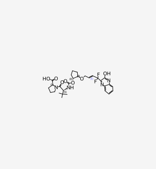 CC(C)(C)[C@H](NC(=O)O[C@@H]1CCC[C@H]1OC/C=C/C(F)(F)c1nc2ccccc2nc1O)C(=O)N1CCC[C@H]1C(=O)O